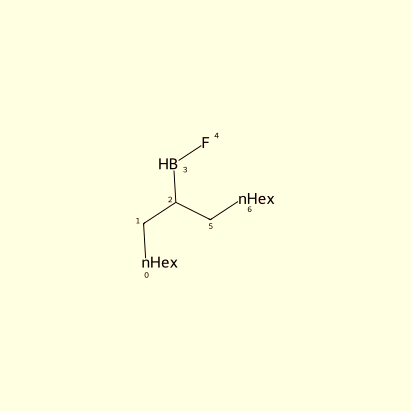 CCCCCCCC(BF)CCCCCCC